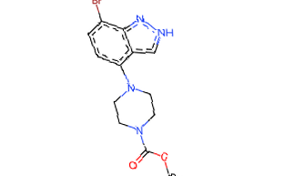 CC(C)(C)OC(=O)N1CCN(c2ccc(Br)c3n[nH]cc23)CC1